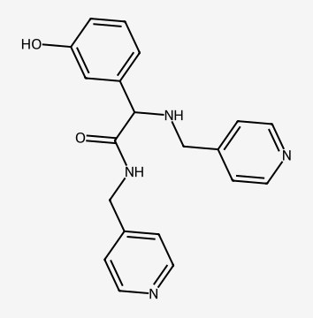 O=C(NCc1ccncc1)C(NCc1ccncc1)c1cccc(O)c1